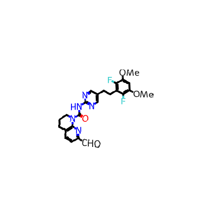 COc1cc(OC)c(F)c(CCc2cnc(NC(=O)N3CCCc4ccc(C=O)nc43)nc2)c1F